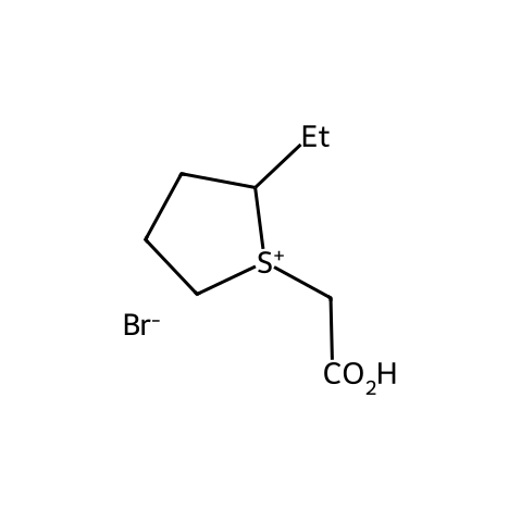 CCC1CCC[S+]1CC(=O)O.[Br-]